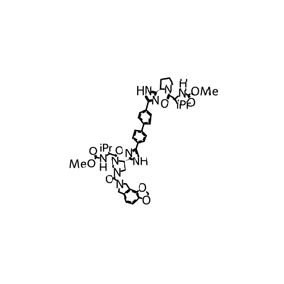 COC(=O)NC(C(=O)N1CCC[C@H]1c1nc(-c2ccc(-c3ccc(-c4c[nH]c([C@@H]5CN(C(=O)N6Cc7ccc8c(c7C6)OCO8)CN5C(=O)[C@@H](NC(=O)OC)C(C)C)n4)cc3)cc2)c[nH]1)C(C)C